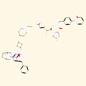 CC(C)[C@H](C(=O)N1C[C@H](O)C[C@H]1C(=O)N[C@@H](C)c1ccc(-n2ccccc2=O)cc1)c1cc(OCCN2CCC(OC3CC(Oc4cc(N5C6CC[C@@H]5CN(c5cc(-c7ccccc7O)nnc5N)C6)ccn4)C3)CC2)no1